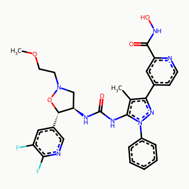 COCCN1C[C@@H](NC(=O)Nc2c(C)c(-c3ccnc(C(=O)NO)c3)nn2-c2ccccc2)[C@H](c2cnc(F)c(F)c2)O1